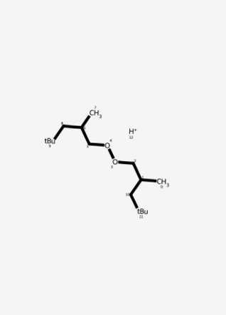 CC(COOCC(C)CC(C)(C)C)CC(C)(C)C.[H+]